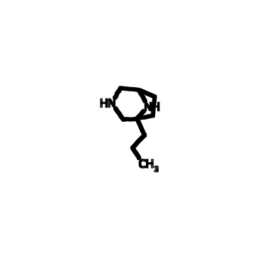 CCCC12CCC(CNC1)N2